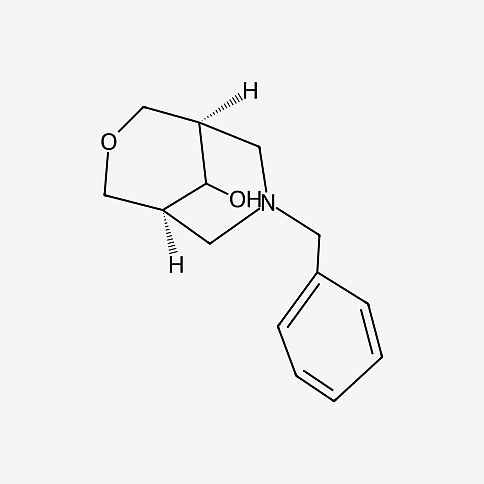 OC1[C@@H]2COC[C@H]1CN(Cc1ccccc1)C2